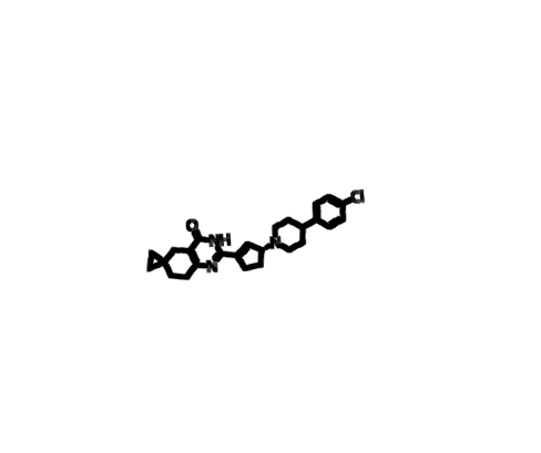 O=c1[nH]c(C2=C[C@@H](N3CCC(c4ccc(Cl)cc4)CC3)CC2)nc2c1CC1(CC2)CC1